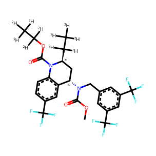 [2H]C([2H])([2H])C([2H])([2H])OC(=O)N1c2ccc(C(F)(F)F)cc2[C@@H](N(Cc2cc(C(F)(F)F)cc(C(F)(F)F)c2)C(=O)OC)C[C@@H]1C([2H])([2H])C([2H])([2H])[2H]